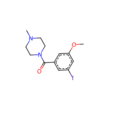 COc1cc(I)cc(C(=O)N2CCN(C)CC2)c1